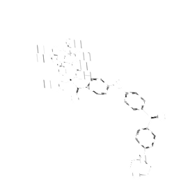 CC(C)(O[Si](C)(C)[Si](C)(C)C)C(=O)c1ccc(Sc2ccc(C(=O)c3ccc(N4CCOCC4)cc3)cc2)cc1